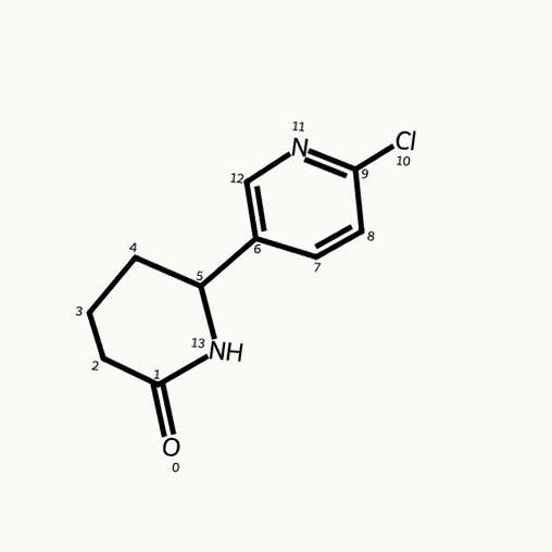 O=C1CCCC(c2ccc(Cl)nc2)N1